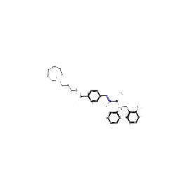 O=C(NCCCN1CCCCCC1)c1ccc(/C=C2\Sc3ccccc3N(Cc3ccccc3F)C2=O)cc1